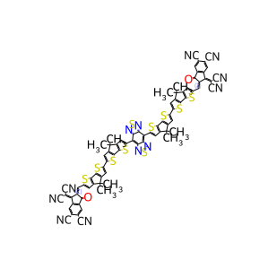 CC1(C)c2cc(/C=C3\C(=O)c4cc(C#N)c(C#N)cc4C3=C(C#N)C#N)sc2-c2sc(-c3cc4c(s3)-c3sc(-c5c6c(c(-c7cc8c(s7)-c7sc(-c9cc%10c(s9)-c9sc(/C=C%11\C(=O)c%12cc(C#N)c(C#N)cc%12C%11=C(C#N)C#N)cc9C%10(C)C)cc7C8(C)C)c7nsnc57)N=S=N6)cc3C4(C)C)cc21